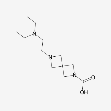 CCN(CC)CCN1CC2(C1)CN(C(=O)O)C2